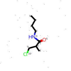 [CH2]CCCNC(=O)C(C)CCl